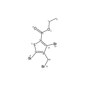 CCOC(=O)c1sc(Br)c(CBr)c1Br